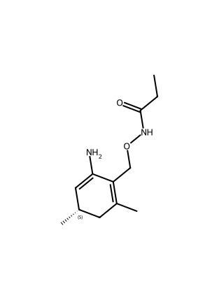 CCC(=O)NOCC1=C(C)C[C@H](C)C=C1N